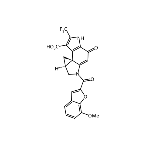 COc1cccc2cc(C(=O)N3C[C@H]4C[C@@]45C3=CC(=O)c3[nH]c(C(F)(F)F)c(C(=O)O)c35)oc12